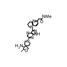 CNC(=O)Cc1ccc2c(n1)CCCN2c1n[nH]c2nc(N3CCC4(CC3)CO[C@@H](C)[C@H]4N)cnc12